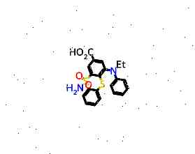 CCN(c1ccccc1)c1cc(C(=O)O)cc(S(N)(=O)=O)c1Sc1ccccc1